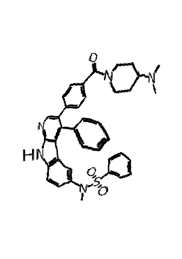 CN(C)C1CCN(C(=O)c2ccc(-c3cnc4[nH]c5ccc(N(C)S(=O)(=O)c6ccccc6)cc5c4c3-c3ccccc3)cc2)CC1